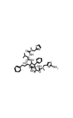 CC(C)[C@H](NC(=O)N(C)Cc1nccs1)C(=O)NC(C(O)C(O)CCc1ccccc1)C(c1ccccc1)[C@](NC(=O)N(C)Cc1csc(N)n1)(C(N)=O)C(C)C